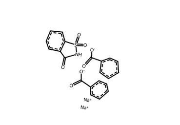 O=C([O-])c1ccccc1.O=C([O-])c1ccccc1.O=C1NS(=O)(=O)c2ccccc21.[Na+].[Na+]